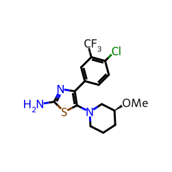 CO[C@H]1CCCN(c2sc(N)nc2-c2ccc(Cl)c(C(F)(F)F)c2)C1